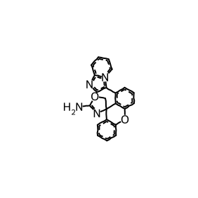 NC1=NC2(CO1)c1ccccc1Oc1cccc(-c3cnc4ccccn34)c12